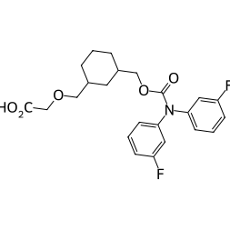 O=C(O)COCC1CCCC(COC(=O)N(c2cccc(F)c2)c2cccc(F)c2)C1